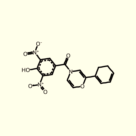 O=C(c1cc([N+](=O)[O-])c(O)c([N+](=O)[O-])c1)N1C=COC(C2=CC=CCC2)=C1